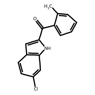 Cc1ccccc1C(=O)c1cc2ccc(Cl)cc2[nH]1